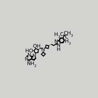 CC(C)(C)c1ccc2[nH]c(CC[C@H]3C[C@H](N(C[C@H]4C[C@@H](n5ccc6c(N)ncnc65)[C@H](O)[C@@H]4O)C4CCC4)C3)nc2c1